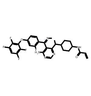 C=CC(=O)NC1CCC(C(C)c2ncnc(N)c2/C(=N\C)c2ccc(Oc3c(F)c(F)cc(F)c3F)cc2F)CC1